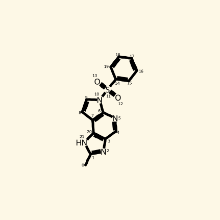 Cc1nc2cnc3c(ccn3S(=O)(=O)c3ccccc3)c2[nH]1